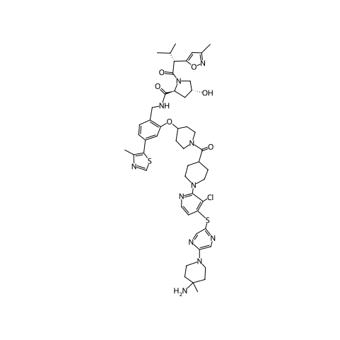 Cc1cc([C@H](C(=O)N2C[C@H](O)C[C@H]2C(=O)NCc2ccc(-c3scnc3C)cc2OC2CCN(C(=O)C3CCN(c4nccc(Sc5cnc(N6CCC(C)(N)CC6)cn5)c4Cl)CC3)CC2)C(C)C)on1